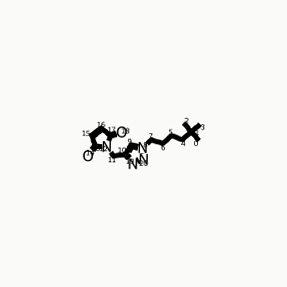 CC(C)(C)CCCCn1cc(CN2C(=O)C=CC2=O)nn1